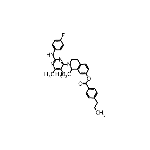 CCCc1ccc(C(=O)Oc2ccc3c(c2)C(C)N(c2nc(Nc4ccc(F)cc4)nc(C)c2C)CC3)cc1